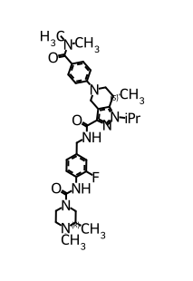 CC(C)n1nc(C(=O)NCc2ccc(NC(=O)N3CCN(C)[C@H](C)C3)c(F)c2)c2c1[C@@H](C)CN(c1ccc(C(=O)N(C)C)cc1)C2